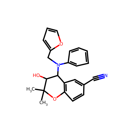 CC1(C)Oc2ccc(C#N)cc2C(N(Cc2ccco2)c2ccccc2)C1O